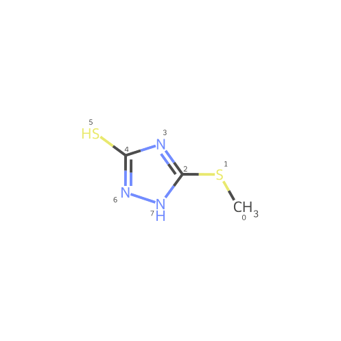 CSc1nc(S)n[nH]1